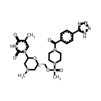 Cc1cn(C2CN(C)C[C@@H](COP(C)(=O)N3CCN(C(=O)c4ccc(-c5nnn[nH]5)cc4)CC3)O2)c(=O)[nH]c1=O